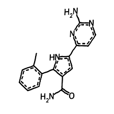 Cc1ccccc1-c1[nH]c(-c2ccnc(N)n2)cc1C(N)=O